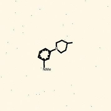 CNc1cccc(N2CCC(C)CC2)c1